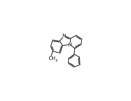 Cc1ccc2nc3cccc(-c4ccccc4)n3c2c1